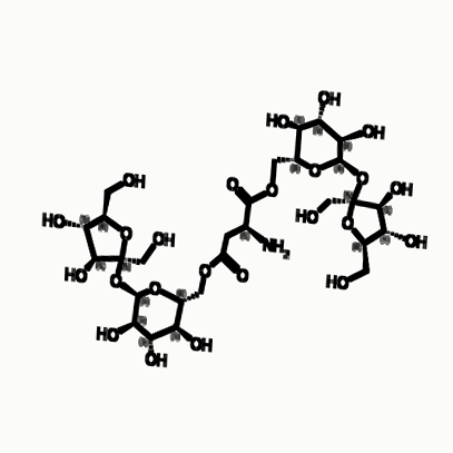 N[C@@H](CC(=O)OC[C@H]1O[C@H](O[C@]2(CO)O[C@H](CO)[C@@H](O)[C@@H]2O)[C@H](O)[C@@H](O)[C@@H]1O)C(=O)OC[C@H]1O[C@H](O[C@]2(CO)O[C@H](CO)[C@@H](O)[C@@H]2O)[C@H](O)[C@@H](O)[C@@H]1O